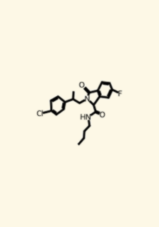 CCCCNC(=O)C1c2cc(F)ccc2C(=O)N1CC(C)c1ccc(Cl)cc1